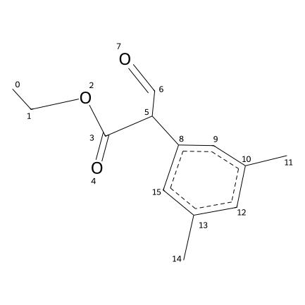 CCOC(=O)C(C=O)c1cc(C)cc(C)c1